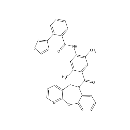 Cc1cc(C(=O)N2Cc3cccnc3Oc3ccccc32)c(C)cc1NC(=O)c1ccccc1-c1ccsc1